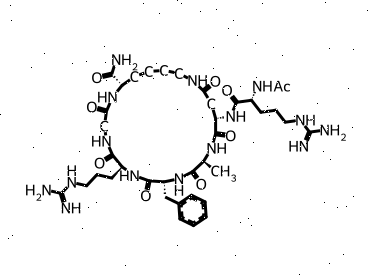 CC(=O)N[C@H](CCCNC(=N)N)C(=O)N[C@H]1CC(=O)NCCCC[C@@H](C(N)=O)NC(=O)CNC(=O)[C@H](CCCNC(=N)N)NC(=O)[C@@H](Cc2ccccc2)NC(=O)[C@H](C)NC1=O